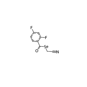 N#CC[Se]C(=O)c1ccc(F)cc1F